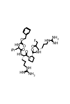 CC(C)C(NC(=O)OCc1ccccc1)C(=O)N[C@@H](CCCNC(=N)N)C(=O)N1CCC[C@H]1C(=O)N[C@@H](CCCNC(=N)N)C(=O)CF